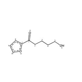 O=C(CCCCO)c1ccco1